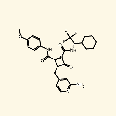 COc1ccc(NC(=O)[C@@H]2[C@H](Cc3ccnc(N)c3)C(=O)N2C(=O)N[C@@H](C2CCCCC2)C(F)(F)F)cc1